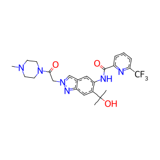 CN1CCN(C(=O)Cn2cc3cc(NC(=O)c4cccc(C(F)(F)F)n4)c(C(C)(C)O)cc3n2)CC1